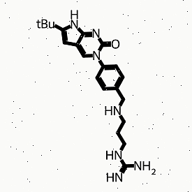 CC(C)(C)c1cc2cn(-c3ccc(CNCCCNC(=N)N)cc3)c(=O)nc2[nH]1